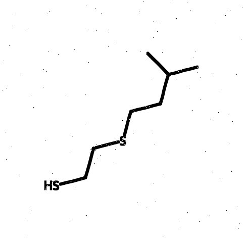 CC(C)CCSCCS